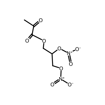 CC(=O)C(=O)OCC(CO[N+](=O)[O-])O[N+](=O)[O-]